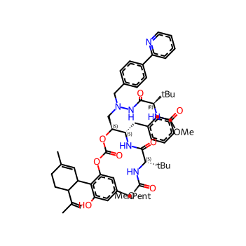 C=C(C)C1CCC(C)=CC1c1c(O)cc(CCCCC)cc1OC(=O)O[C@@H](CN(Cc1ccc(-c2ccccn2)cc1)NC(=O)[C@H](NC(=O)OC)C(C)(C)C)[C@H](Cc1ccccc1)NC(=O)[C@@H](NC(=O)OC)C(C)(C)C